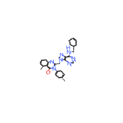 Cc1ccc(-n2c(Cn3cnc4c(NCc5ccccc5)ncnc43)nc3cccc(C)c3c2=O)cc1